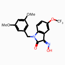 COc1cc(CN2C(=O)/C(=N\O)c3cc(OC(F)(F)F)ccc32)cc(OC)c1